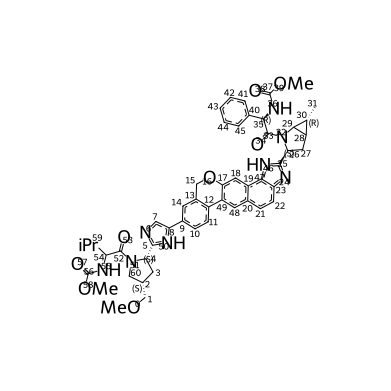 COC[C@H]1C[C@@H](c2ncc(-c3ccc4c(c3)COc3cc5c(ccc6nc([C@@H]7CC8C([C@@H]8C)N7C(=O)[C@H](NC(=O)OC)c7ccccc7)[nH]c65)cc3-4)[nH]2)N(C(=O)C(NC(=O)OC)C(C)C)C1